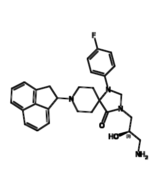 NC[C@@H](O)CN1CN(c2ccc(F)cc2)C2(CCN(C3Cc4cccc5cccc3c45)CC2)C1=O